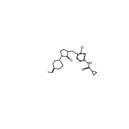 CC=C1CCC(N2CCC(Cc3ccc(NC(=O)C4CC4)cc3Cl)C2=O)CC1